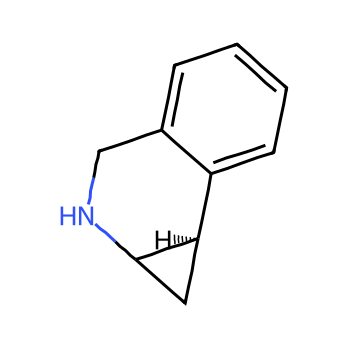 c1ccc2c(c1)CNC1C[C@H]21